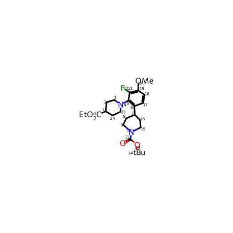 CCOC(=O)C1CCN(c2c(C3CCN(C(=O)OC(C)(C)C)CC3)ccc(OC)c2F)CC1